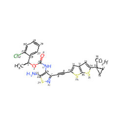 CC(OC(=O)Nc1c(C#Cc2cc3cc(C4(C(=O)O)CC4)sc3s2)nsc1N)c1ccccc1Cl